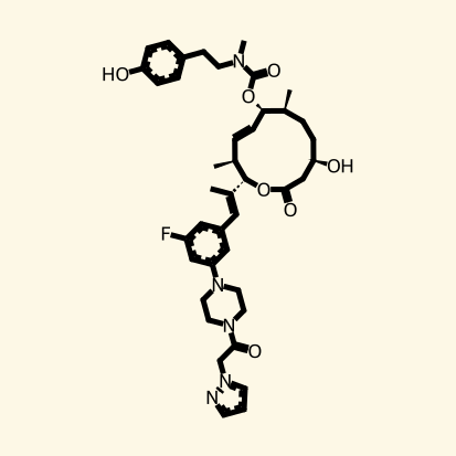 C/C(=C\c1cc(F)cc(N2CCN(C(=O)Cn3cccn3)CC2)c1)[C@H]1OC(=O)C[C@H](O)CC[C@H](C)[C@@H](OC(=O)N(C)CCc2ccc(O)cc2)/C=C/[C@@H]1C